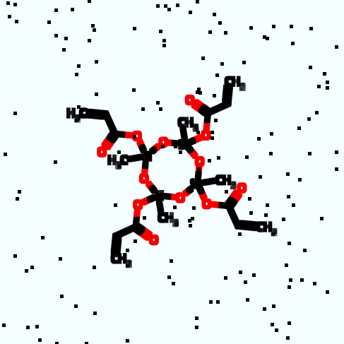 C=CC(=O)O[Si]1(C)O[Si](C)(OC(=O)C=C)O[Si](C)(OC(=O)C=C)O[Si](C)(OC(=O)C=C)O1